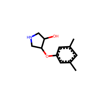 Cc1cc(C)cc(OC2CNCC2O)c1